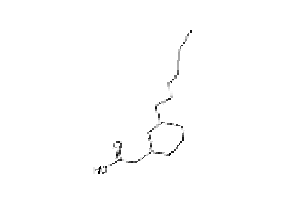 CCCCCCC1CCCC(CC(=O)O)C1